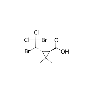 CC1(C)[C@H](C(=O)O)[C@H]1C(Br)C(Cl)(Cl)Br